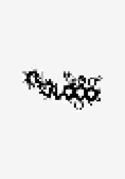 COc1cccc2c1C(=O)c1c(OC)cc(CN3CCN(c4ncccn4)CC3)cc1C2=O